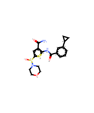 NC(=O)c1cc([S+]([O-])N2CCOCC2)sc1NC(=O)c1cccc(C2CC2)c1